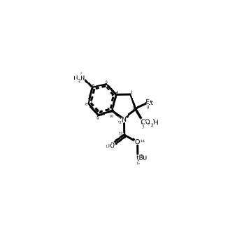 CCC1(C(=O)O)Cc2cc(N)ccc2N1C(=O)OC(C)(C)C